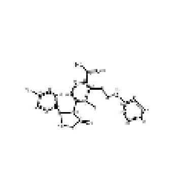 Cc1c(N2C(=O)CSC2c2ccc(F)cc2)ccc(C(=O)O)c1CCOc1ccncc1